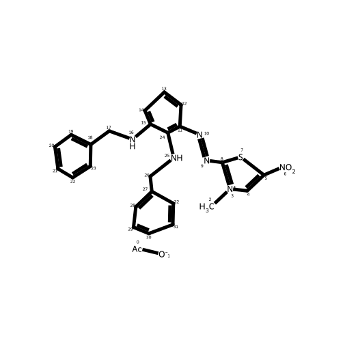 CC(=O)[O-].C[n+]1cc([N+](=O)[O-])sc1N=Nc1cccc(NCc2ccccc2)c1NCc1ccccc1